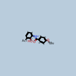 CC(=O)c1cccc(NC(=O)c2ccc(OC(C)(C)C)cc2)c1O